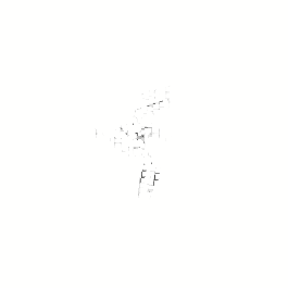 CN(CC[N+](C)(C)CC(O)COCC(F)(F)C(F)(F)C(F)(F)C(F)F)CC(O)COCC(F)(F)C(F)(F)C(F)(F)C(F)F